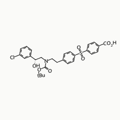 CC(C)(C)OC(=O)N(CCc1ccc(S(=O)(=O)c2ccc(C(=O)O)cc2)cc1)C[C@H](O)c1cccc(Cl)c1